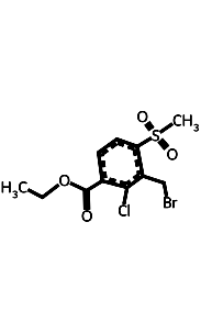 CCOC(=O)c1ccc(S(C)(=O)=O)c(CBr)c1Cl